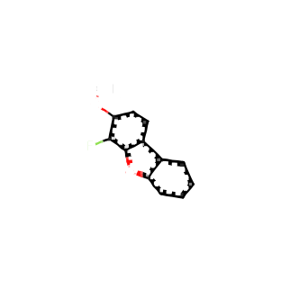 COc1ccc2c(oc3ccccc32)c1F